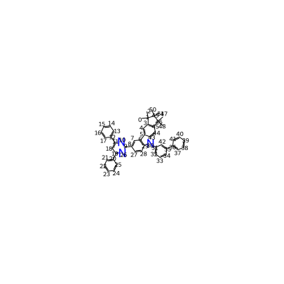 CC1(C)c2cc3c4cc(-c5nc(-c6ccccc6)cc(-c6ccccc6)n5)ccc4n(-c4cccc(-c5ccccc5)c4)c3cc2C(C)(C)C1(C)C